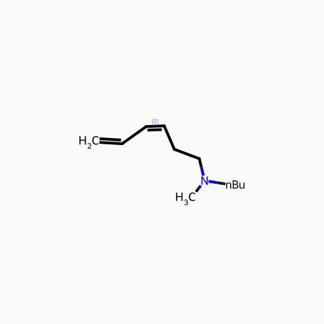 C=C/C=C\CCN(C)CCCC